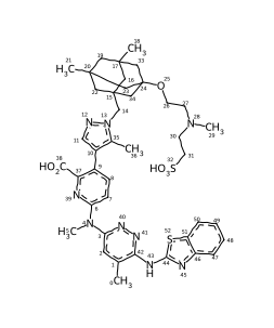 Cc1cc(N(C)c2ccc(-c3cnn(CC45CC6(C)CC(C)(C4)CC(OCCN(C)CCS(=O)(=O)O)(C6)C5)c3C)c(C(=O)O)n2)nnc1Nc1nc2ccccc2s1